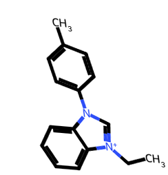 CC[n+]1cn(-c2ccc(C)cc2)c2ccccc21